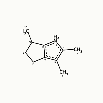 Cc1[nH]c2c(c1C)CCC2C